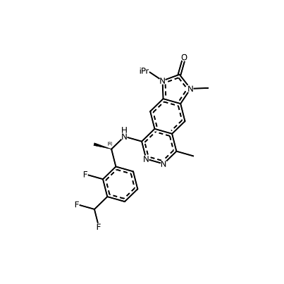 Cc1nnc(N[C@H](C)c2cccc(C(F)F)c2F)c2cc3c(cc12)n(C)c(=O)n3C(C)C